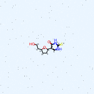 O=c1[nH]c(=S)[nH]cc1C1CCC(CCO)O1